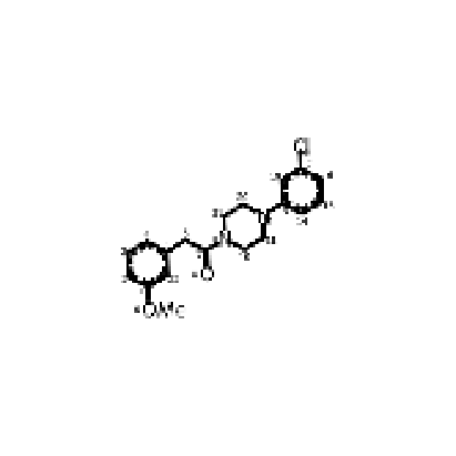 COc1cccc(CC(=O)N2CCN(c3cccc(Cl)c3)CC2)c1